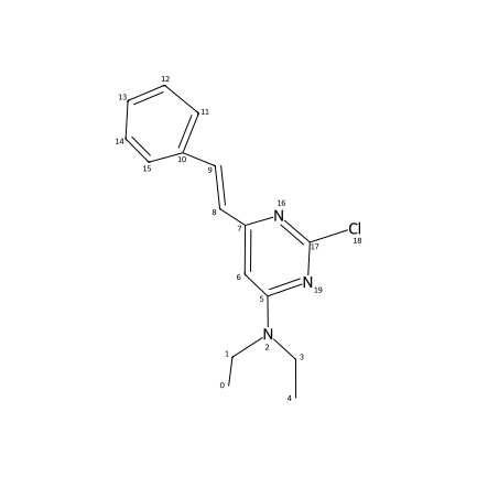 CCN(CC)c1cc(/C=C/c2ccccc2)nc(Cl)n1